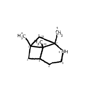 CC12CC3CCNC(C)(C1)C32C